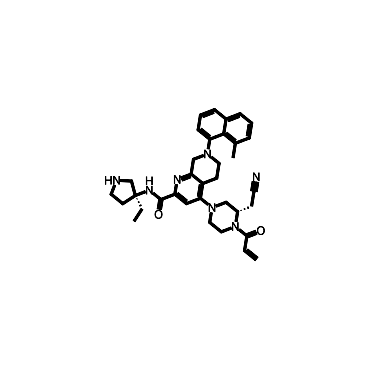 C=CC(=O)N1CCN(c2cc(C(=O)N[C@@]3(CC)CCNC3)nc3c2CCN(c2cccc4cccc(C)c24)C3)C[C@@H]1CC#N